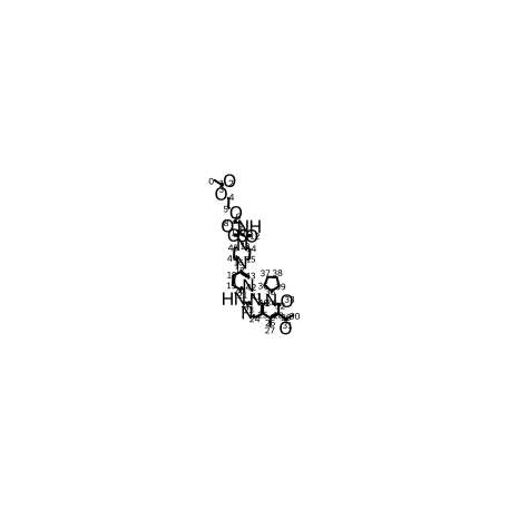 CC(=O)OCCOC(=O)NS(=O)(=O)N1CCN(c2ccc(Nc3ncc4c(C)c(C(C)=O)c(=O)n(C5CCCC5)c4n3)nc2)CC1